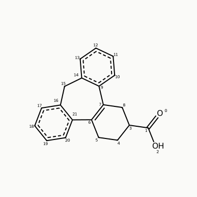 O=C(O)C1CCC2=C(C1)c1ccccc1Cc1ccccc12